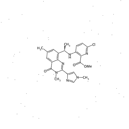 COC(=O)c1nc(Cl)ccc1N[C@H](C)c1cc(C)cc2c(=O)n(C)c(-c3cn(C)cn3)nc12